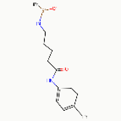 CC(C)C1=CC=C(NC(=O)CCCCN[S+]([O-])C(C)C)CC1